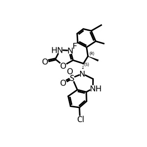 Cc1ccc(F)c([C@@H](C)[C@@H](c2n[nH]c(=O)o2)N2CNc3cc(Cl)ccc3S2(=O)=O)c1C